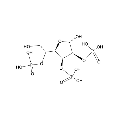 O=P(O)(O)O[C@@H]1[C@H](OP(=O)(O)O)[C@@H](O)O[C@@H]1[C@@H](CO)OP(=O)(O)O